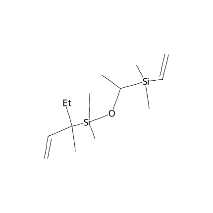 C=CC(C)(CC)[Si](C)(C)OC(C)[Si](C)(C)C=C